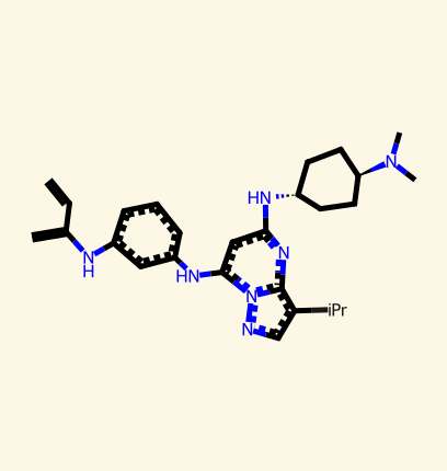 C=CC(=C)Nc1cccc(Nc2cc(N[C@H]3CC[C@H](N(C)C)CC3)nc3c(C(C)C)cnn23)c1